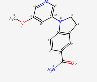 NC(=O)c1ccc2c(c1)CCN2c1cncc(OC(F)(F)F)c1